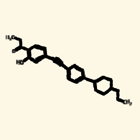 CCCC1CCC(c2ccc(C#Cc3ccc(C(=O)CC)c(O)c3)cc2)CC1